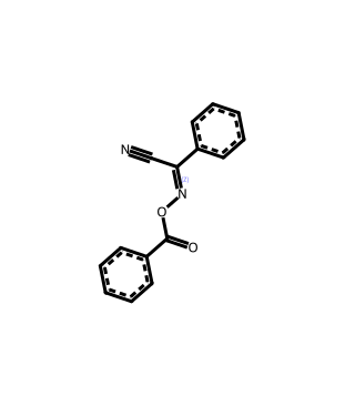 N#C/C(=N\OC(=O)c1ccccc1)c1ccccc1